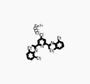 CCc1cccc(CC)c1N=C(C)c1cc(Cl)cc(C(C)=Nc2c(CC)cccc2CC)n1.[Cl-].[Cl-].[Cl-].[Fe+3]